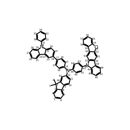 CC1(C)c2ccccc2-c2ccc(N(c3ccc(-c4ccc5c(c4)c4ccccc4n5-c4ccccc4)cc3)c3ccc(-n4c5ccccc5c5cc6oc7ccccc7c6cc54)cc3)cc21